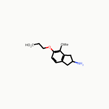 COc1c(OCCC(=O)O)ccc2c1CC(N)C2